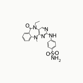 CCN1C(=O)c2ccccc2N(C)c2nc(Nc3ccc(S(N)(=O)=O)cc3)ncc21